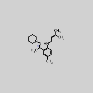 CC(C)=CCNc1ccc(C)cc1/C(C)=N/N1CCCCC1